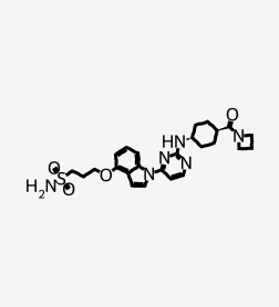 NS(=O)(=O)CCCOc1cccc2c1ccn2-c1ccnc(N[C@H]2CC[C@H](C(=O)N3CCC3)CC2)n1